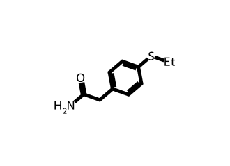 CCSc1ccc(CC(N)=O)cc1